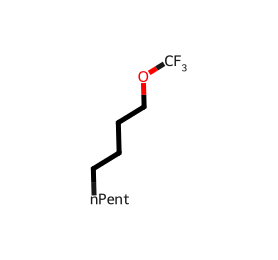 CCCCCCCCCOC(F)(F)F